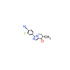 CC1CCn2c(cnc2-c2ccc(C#N)c(F)c2)C1=O